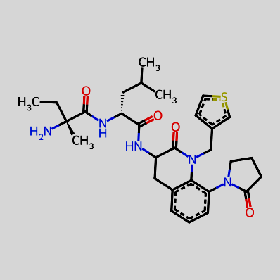 CC[C@@](C)(N)C(=O)N[C@H](CC(C)C)C(=O)NC1Cc2cccc(N3CCCC3=O)c2N(Cc2ccsc2)C1=O